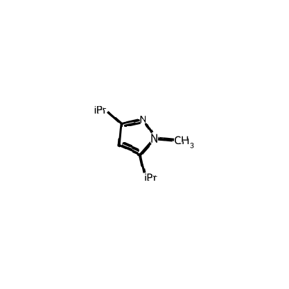 CC(C)c1cc(C(C)C)n(C)n1